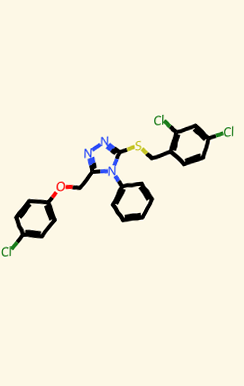 Clc1ccc(OCc2nnc(SCc3ccc(Cl)cc3Cl)n2-c2ccccc2)cc1